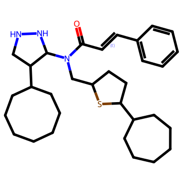 O=C(/C=C/c1ccccc1)N(CC1CCC(C2CCCCCC2)S1)C1NNCC1C1CCCCCCC1